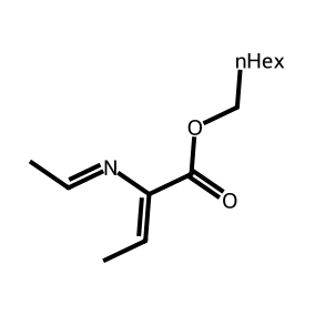 CC=NC(=CC)C(=O)OCCCCCCC